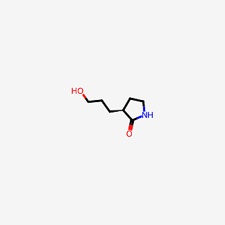 O=C1NCC[C@@H]1CCCO